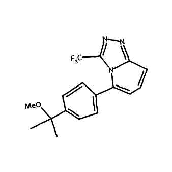 COC(C)(C)c1ccc(-c2cccc3nnc(C(F)(F)F)n23)cc1